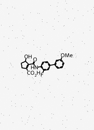 COc1cccc(-c2ccc(NC(=O)C3=C(C(=O)O)CCC3O)c(F)c2)c1